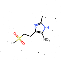 Cc1nc(CCS(=O)(=O)C(C)C)c([N+](=O)[O-])[nH]1